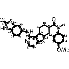 COc1ccc(N(C)C(=O)C2CCc3c(sc4ncnc(Nc5ccc6[nH]c(=O)sc6c5)c34)C2)cc1